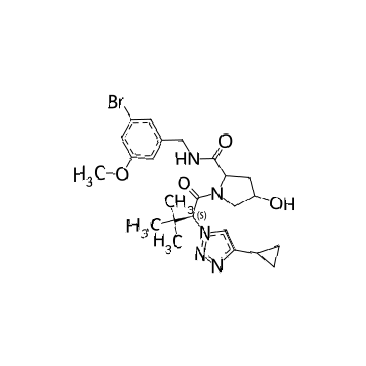 COc1cc(Br)cc(CNC(=O)C2CC(O)CN2C(=O)[C@@H](n2cc(C3CC3)nn2)C(C)(C)C)c1